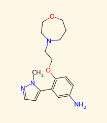 Cn1nccc1-c1cc(N)ccc1OCCN1CCCOCC1